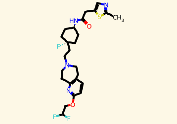 Cc1ncc(CC(=O)N[C@H]2CC[C@](F)(CCN3CCc4ccc(OCC(F)F)nc4CC3)CC2)s1